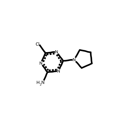 Nc1nc(Cl)nc(N2CCCC2)n1